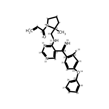 C=CC(=O)N1CCC[C@]1(C)CNc1ncncc1C(=N)c1ccc(Oc2ccccc2)cc1F